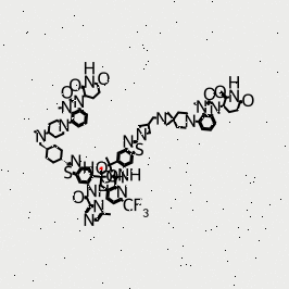 Cc1cncc(C(=O)Nc2cc3sc([C@H]4CC[C@H](CN(C)C5CCN(c6cccc7c6n(C)c(=O)n7C6CCC(=O)NC6=O)CC5)CC4)nc3cc2C(C)(O)Cc2ccc(C(F)(F)F)nc2C(=O)Nc2cc3sc(N4CC(CN5CC6(CCN(c7cccc8c7n(C)c(=O)n8C7CCC(=O)NC7=O)CC6)C5)C4)nc3cc2C(C)(C)O)n1